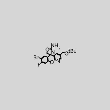 CC(C)(C)OCc1cnc2c(c1)C1(COC(N)=N1)c1cc(Br)c(F)cc1O2